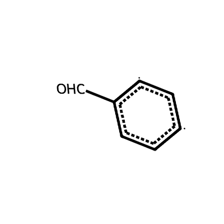 O=Cc1[c]c[c]cc1